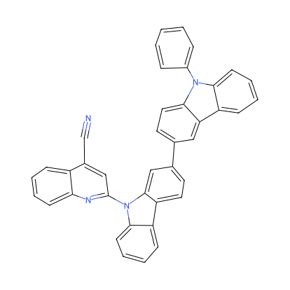 N#Cc1cc(-n2c3ccccc3c3ccc(-c4ccc5c(c4)c4ccccc4n5-c4ccccc4)cc32)nc2ccccc12